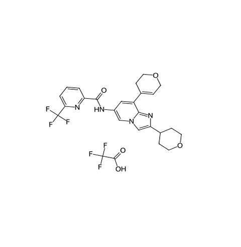 O=C(Nc1cc(C2=CCOCC2)c2nc(C3CCOCC3)cn2c1)c1cccc(C(F)(F)F)n1.O=C(O)C(F)(F)F